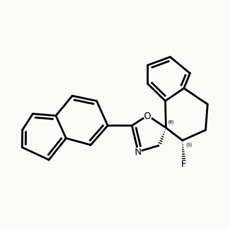 F[C@H]1CCc2ccccc2[C@@]12CN=C(c1ccc3ccccc3c1)O2